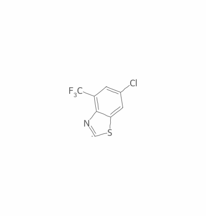 FC(F)(F)c1cc(Cl)cc2s[c]nc12